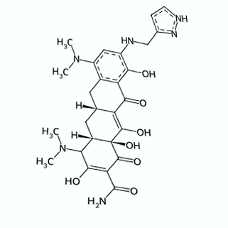 CN(C)c1cc(NCc2cc[nH]n2)c(O)c2c1C[C@H]1C[C@H]3C(N(C)C)C(O)=C(C(N)=O)C(=O)[C@@]3(O)C(O)=C1C2=O